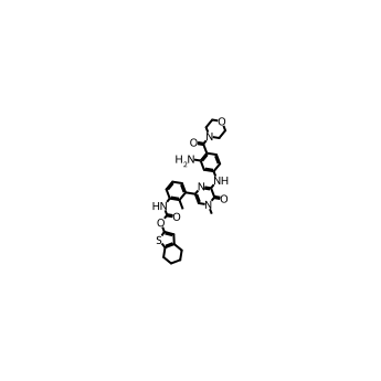 Cc1c(NC(=O)Oc2cc3c(s2)CCCC3)cccc1-c1cn(C)c(=O)c(Nc2ccc(C(=O)N3CCOCC3)c(N)c2)n1